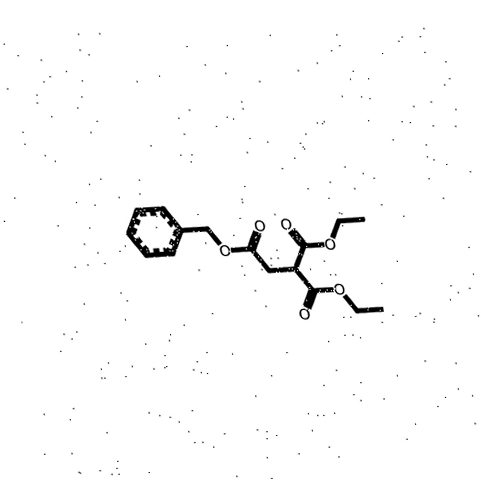 CCOC(=O)C(CC(=O)OCc1ccccc1)C(=O)OCC